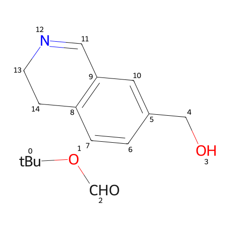 CC(C)(C)OC=O.OCc1ccc2c(c1)C=NCC2